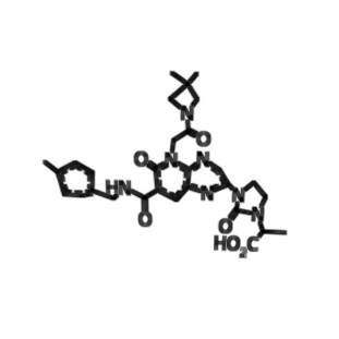 Cc1ccc(CNC(=O)c2cc3nc(N4CCN(C(C)C(=O)O)C4=O)cnc3n(CC(=O)N3CC(C)(C)C3)c2=O)cc1